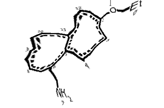 CCOc1ccc2c(N)cccc2c1